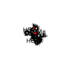 COc1nc(C(c2ccccc2)(c2cc(CN(C)C)cnc2OC)C(O)(CCN(C)C)c2cccc3ccccc23)c(C=O)cc1C(c1ccccc1)C(O)(CCN(C)C)c1cccc2ccccc12